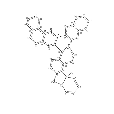 CC12C=CC=CC1Oc1ccc3c(-c4nc5ccc6ccccc6c5nc4-c4ccc5ccccc5c4)cccc3c12